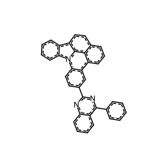 c1ccc(-c2nc(-c3ccc4c(c3)c3cccc5ccc6c7ccccc7n4c6c53)nc3ccccc23)cc1